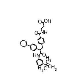 CC(C)(C)c1cccc(NC(=O)C(Cc2ccc(C(=O)NCCC(=O)O)cc2)c2ccc(C3=CCCCC3)cc2)c1